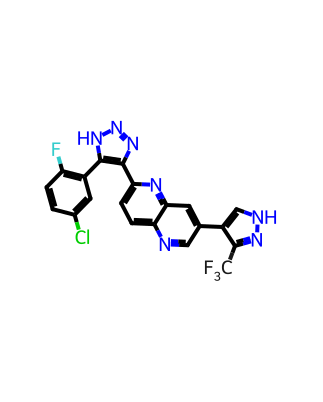 Fc1ccc(Cl)cc1-c1[nH]nnc1-c1ccc2ncc(-c3c[nH]nc3C(F)(F)F)cc2n1